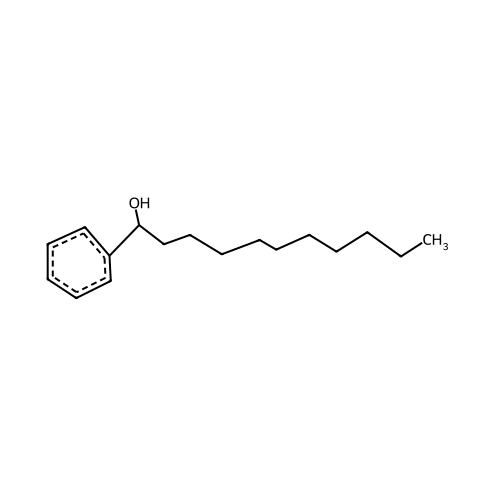 CCCCCCCCCCC(O)c1ccccc1